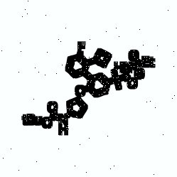 CCS(=O)(=O)NC(=O)C(C)(C)c1ccc(O[C@@H]2CC[C@@H](NC(=O)OC(C)(C)C)C2)c(-c2cccc(F)c2C2CCC2)c1